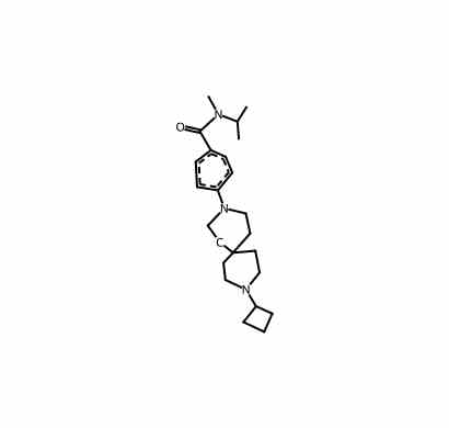 CC(C)N(C)C(=O)c1ccc(N2CCC3(CC2)CCN(C2CCC2)CC3)cc1